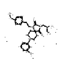 COc1ccc(CCN2C(=O)N(CC(C)C)C(=O)C23CCN(c2cccc(O)c2)CC3)cc1